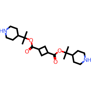 CC(C)(OC(=O)C1CC(C(=O)OC(C)(C)C2CCNCC2)C1)C1CCNCC1